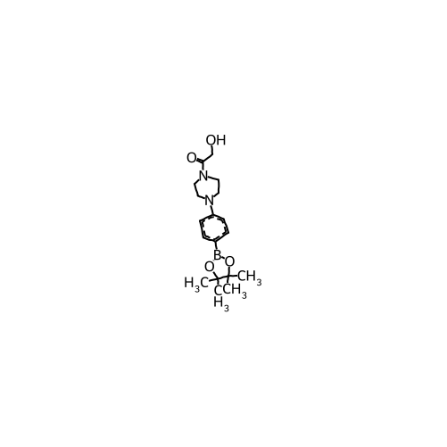 CC1(C)OB(c2ccc(N3CCN(C(=O)CO)CC3)cc2)OC1(C)C